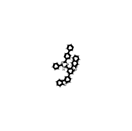 c1ccc(-c2ccc(C3=NC(c4ccccc4)NC(c4cc(-c5ccc6oc7ccccc7c6c5)cc5oc6cc7ccccc7cc6c45)=N3)cc2)cc1